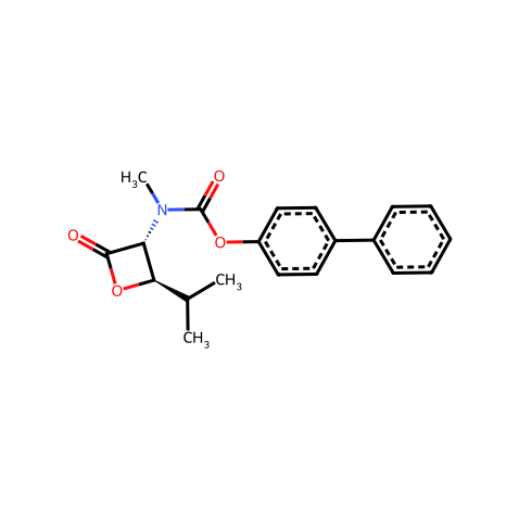 CC(C)[C@H]1OC(=O)[C@@H]1N(C)C(=O)Oc1ccc(-c2ccccc2)cc1